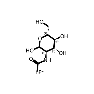 CCCC(=O)N[C@H]1C(O)O[C@H](CO)[C@@H](O)[C@@H]1O